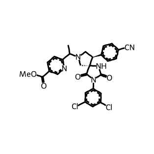 COC(=O)c1ccc(C(C)N2C[C@@H](c3ccc(C#N)cc3)[C@@]3(C2)NC(=O)N(c2cc(Cl)cc(Cl)c2)C3=O)nc1